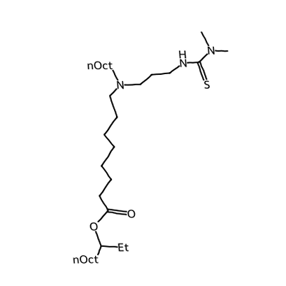 CCCCCCCCC(CC)OC(=O)CCCCCCCN(CCCCCCCC)CCCNC(=S)N(C)C